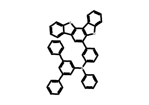 c1ccc(-c2cc(-c3ccccc3)cc(N(c3ccccc3)c3cccc(-c4cc5c6ccccc6sc5c5c4oc4ccccc45)c3)c2)cc1